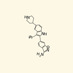 CC(C)c1c(-c2ccc3c(N)noc3c2)[nH]c2ccc(C3CCNCC3)cc12